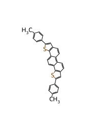 Cc1ccc(-c2cc3ccc4c5ccc6cc(-c7ccc(C)cc7)sc6c5ccc4c3s2)cc1